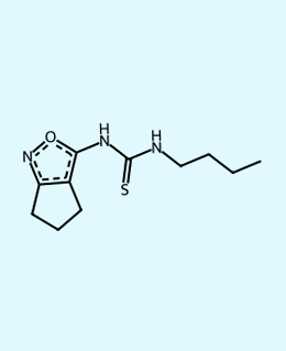 CCCCNC(=S)Nc1onc2c1CCC2